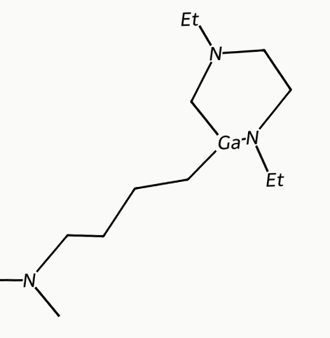 CCN1CC[N](CC)[Ga]([CH2]CCCN(C)C)[CH2]1